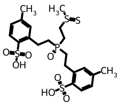 Cc1ccc(S(=O)(=O)O)c(CCP(=O)(CCc2cc(C)ccc2S(=O)(=O)O)CCS(C)=S)c1